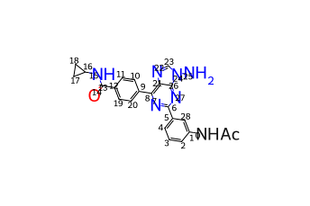 CC(=O)Nc1cccc(-c2nc(-c3ccc(C(=O)NC4CC4)cc3)c3ncn(N)c3n2)c1